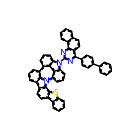 c1ccc(-c2ccc(-c3nc(-n4c5cccc6c7cccc8c9ccc%10c%11ccccc%11sc%10c9n(c9cccc4c9c65)c78)nc4c3ccc3ccccc34)cc2)cc1